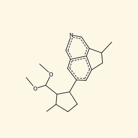 COC(OC)C1C(C)CCC1c1cc2c3c(cncc3c1)C(C)C2